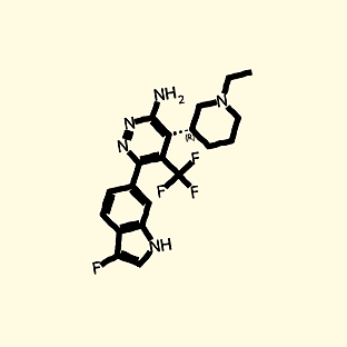 CCN1CCC[C@H](c2c(N)nnc(-c3ccc4c(F)c[nH]c4c3)c2C(F)(F)F)C1